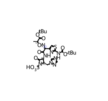 C[C@H](O/N=C(\C(=O)N[C@@H]1C(=O)N(S(=O)(=O)O)[C@@H]1Cn1cncn1)c1csc(NC(=O)OC(C)(C)C)n1)C(=O)OC(C)(C)C